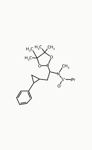 CC(C)[S+]([O-])N(C)C(CC1CC1c1ccccc1)B1OC(C)(C)C(C)(C)O1